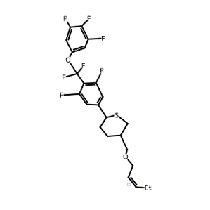 CC/C=C\COCC1CCC(c2cc(F)c(C(F)(F)Oc3cc(F)c(F)c(F)c3)c(F)c2)SC1